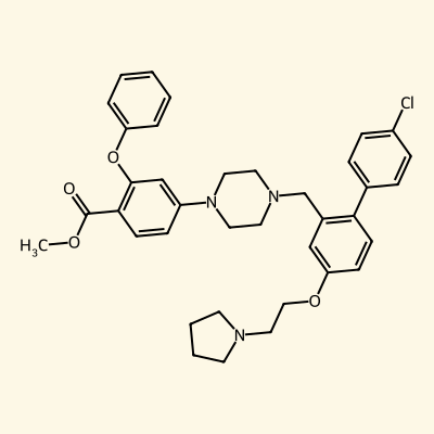 COC(=O)c1ccc(N2CCN(Cc3cc(OCCN4CCCC4)ccc3-c3ccc(Cl)cc3)CC2)cc1Oc1ccccc1